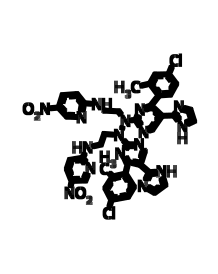 Cc1cc(Cl)ccc1-c1nc(N(CCNc2ccc([N+](=O)[O-])cn2)N(CCNc2ccc([N+](=O)[O-])cn2)c2ncc(-c3ncc[nH]3)c(-c3ccc(Cl)cc3C)n2)ncc1-c1ncc[nH]1